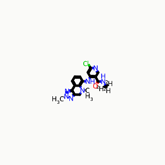 [2H]C([2H])([2H])NC(=O)c1cnc(Cl)cc1Nc1cccc2c1N(C)Cc1nn(C)nc1-2